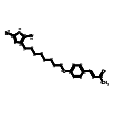 CC(=O)/C=C/c1ccc(OCCCCCCCCc2cc(Br)sc2Br)cc1